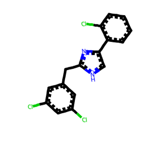 Clc1cc(Cl)cc(Cc2nc(-c3ccccc3Cl)c[nH]2)c1